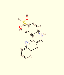 Cc1ccccc1Nc1ccnc2ccc(S(C)(=O)=O)cc12